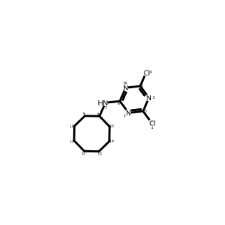 Clc1nc(Cl)nc(NC2CCCCCCC2)n1